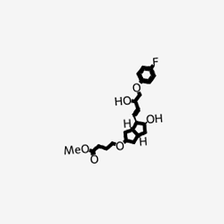 COC(=O)CCCOC1C[C@H]2C[C@@H](O)[C@H](C=CC(O)COc3ccc(F)cc3)[C@@H]2C1